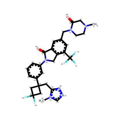 CN1CCN(Cc2cc3c(c(C(F)(F)F)c2)CN(c2cccc(C4(Cc5nncn5C)CC(F)(F)C4)c2)C3=O)C(=O)C1